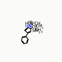 CC(C)(C)[NH][Ti]([CH3])([CH3])([CH3])([CH3])([SiH3])[CH]1C=CC(c2ccccc2)=C1